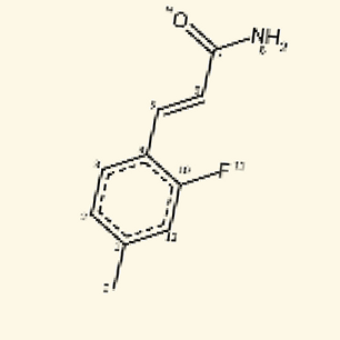 Cc1ccc(/C=C/C(N)=O)c(F)c1